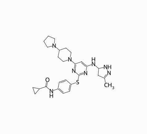 CC1=NNC(Nc2cc(N3CCC(N4CCCC4)CC3)nc(Sc3ccc(NC(=O)C4CC4)cc3)n2)C1